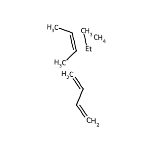 C.C/C=C\C.C=CC=C.CCC